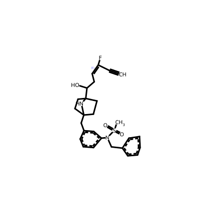 C#C/C(F)=C\CC(O)C12CCC(Cc3cccc(N(Cc4ccccc4)S(C)(=O)=O)c3)(CC1)N2